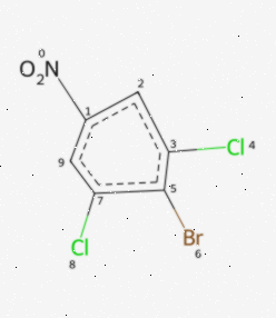 O=[N+]([O-])c1cc(Cl)c(Br)c(Cl)c1